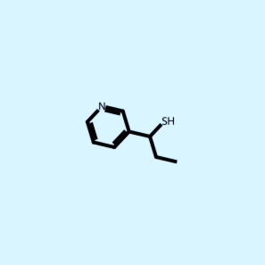 CCC(S)c1cccnc1